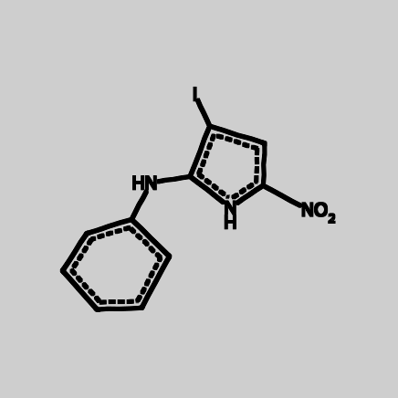 O=[N+]([O-])c1cc(I)c(Nc2ccccc2)[nH]1